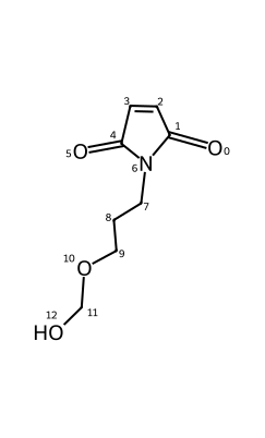 O=C1C=CC(=O)N1CCCOCO